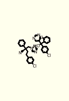 N#CC(CCc1ccc(Cl)cc1)(Cn1cncn1)c1ccccc1.OC(c1ccc(Cl)cc1)(c1cncnc1)c1ccccc1Cl